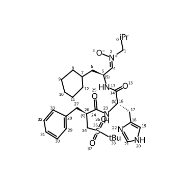 CC(C)C[N+]([O-])=C[C@H](CC1CCCCC1)NC(=O)[C@H](Cc1c[nH]cn1)NC(=O)[C@H](Cc1ccccc1)CS(=O)(=O)C(C)(C)C